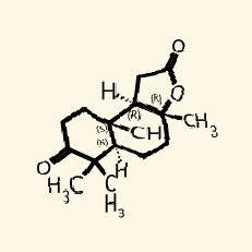 CC1(C)C(=O)CC[C@]2(C)[C@H]3CC(=O)O[C@]3(C)CC[C@@H]12